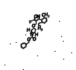 Cc1cccc(C)c1-c1noc(C2CC2)c1CO[C@@H]1C[C@@H]2C[C@H]1CN2C(=O)OCc1ccccc1